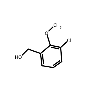 COc1c(Cl)cccc1CO